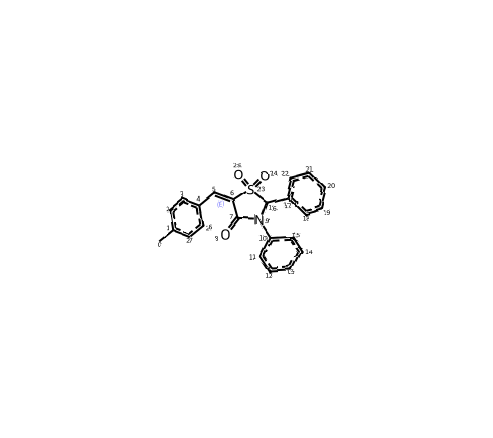 Cc1ccc(/C=C2\C(=O)N(c3ccccc3)C(c3ccccc3)S2(=O)=O)cc1